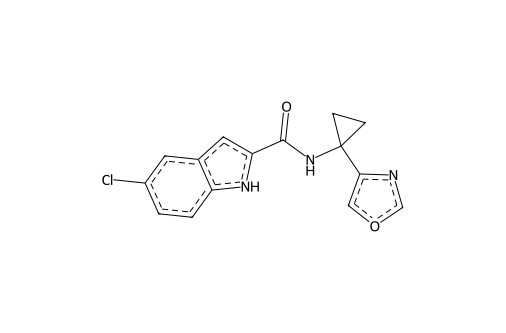 O=C(NC1(c2cocn2)CC1)c1cc2cc(Cl)ccc2[nH]1